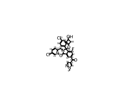 Cn1cc(C(=O)c2cc(F)c3c(c2)C(=O)N(Cc2ccc(Cl)cn2)C3(OC2CC(O)C2)c2ccc(Cl)cc2)cn1